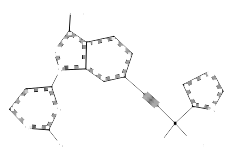 Cc1nn(-c2ccnc(N)n2)c2cc(C#CC(C)(O)c3cocn3)ccc12